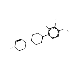 CCCCC[C@H]1C=C[C@H](C2CCC(c3ccc(OCC)c(F)c3F)CC2)CC1